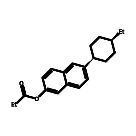 CCC(=O)Oc1ccc2cc([C@H]3CC[C@H](CC)CC3)ccc2c1